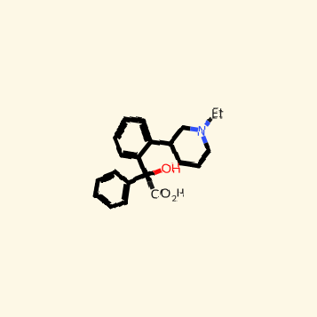 CCN1CCCC(c2ccccc2C(O)(C(=O)O)c2ccccc2)C1